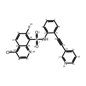 O=S(=O)(Nc1ccccc1C#Cc1cccnc1)c1c(F)ccc2c(Cl)ccnc12